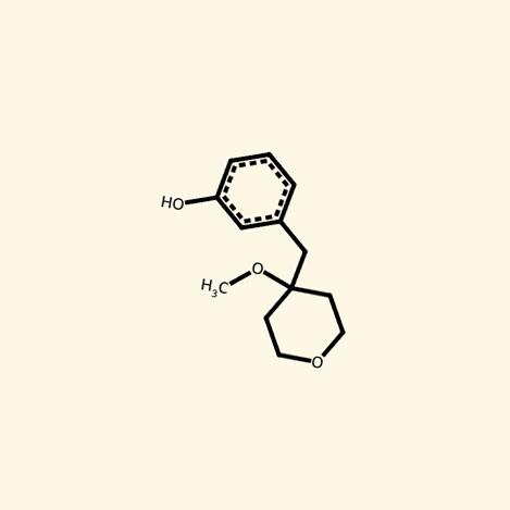 COC1(Cc2cccc(O)c2)CCOCC1